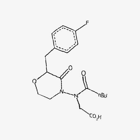 CCCCC(=O)N(CC(=O)O)N1CCOC(Cc2ccc(F)cc2)C1=O